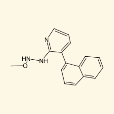 CONNc1ncccc1-c1cccc2ccccc12